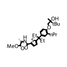 CCCc1cc(C(CC)(CC)c2ccc(C(=O)N[C@@H](C)C(=O)OC)s2)ccc1OCC(C)(O)C(C)(C)C